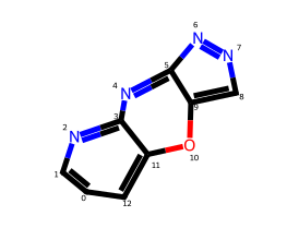 c1cnc2nc3nncc-3oc2c1